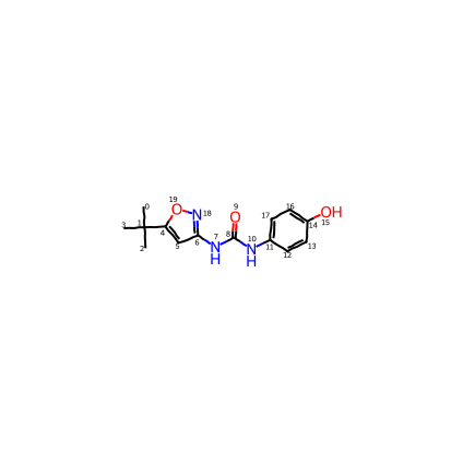 CC(C)(C)c1cc(NC(=O)Nc2ccc(O)cc2)no1